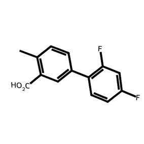 Cc1ccc(-c2ccc(F)cc2F)cc1C(=O)O